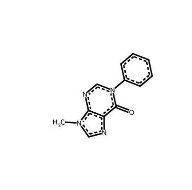 Cn1cnc2c(=O)n(-c3ccccc3)cnc21